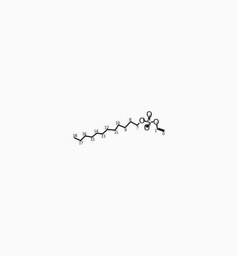 C=COS(=O)(=O)OCCCCCCCCCCCC